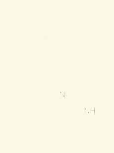 CC(N)Cn1ccc2c1-c1cc(F)ccc1C2(C)C